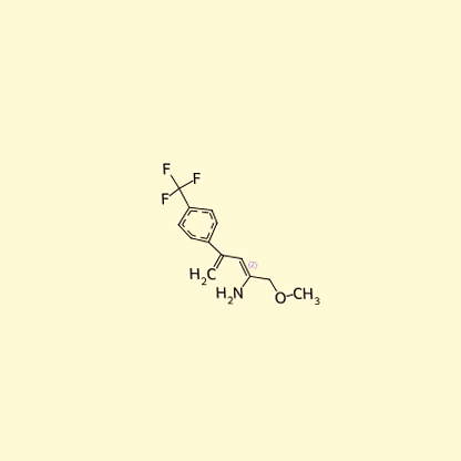 C=C(/C=C(\N)COC)c1ccc(C(F)(F)F)cc1